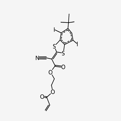 C=CC(=O)OCCOC(=O)/C(C#N)=C1\Sc2c(I)cc(C(C)(C)C)c(I)c2S1